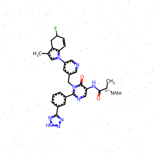 CN[C@@H](C)C(=O)Nc1cnc(-c2cccc(-c3nn[nH]n3)c2)n(Cc2cncc(-n3cc(C)c4c3C=CC(F)C4)c2)c1=O